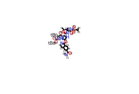 C=CC1C[C@]1(NC(=O)[C@@H]1C[C@@H](Oc2nccc3cc(C(=O)N(C)C)ccc23)CN1C(=O)[C@@H](NC(=O)OC(C)(C)C)C(C)(C)C)C(=O)NS(=O)(=O)C1CC1